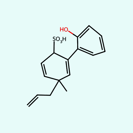 C=CCC1(C)C=CC(S(=O)(=O)O)C(c2ccccc2O)=C1